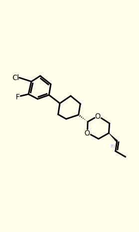 C/C=C/[C@H]1CO[C@H](C2CCC(c3ccc(Cl)c(F)c3)CC2)OC1